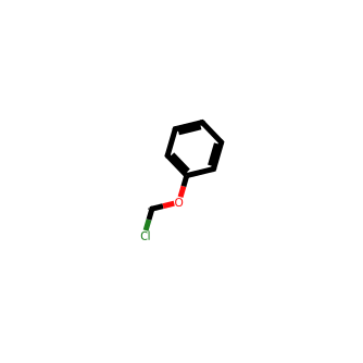 Cl[CH]Oc1ccccc1